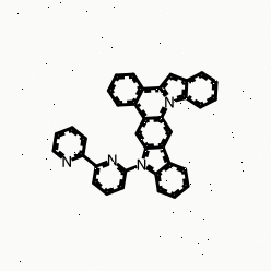 c1ccc(-c2cccc(-n3c4ccccc4c4cc5c(cc43)c3ccccc3c3cc4ccccc4n35)n2)nc1